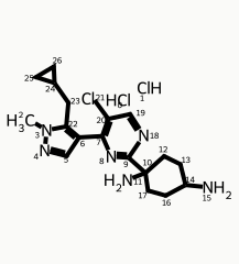 Cl.Cl.Cn1ncc(-c2nc(C3(N)CCC(N)CC3)ncc2Cl)c1CC1CC1